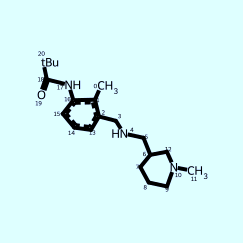 Cc1c(CNCC2CCCN(C)C2)cccc1NC(=O)C(C)(C)C